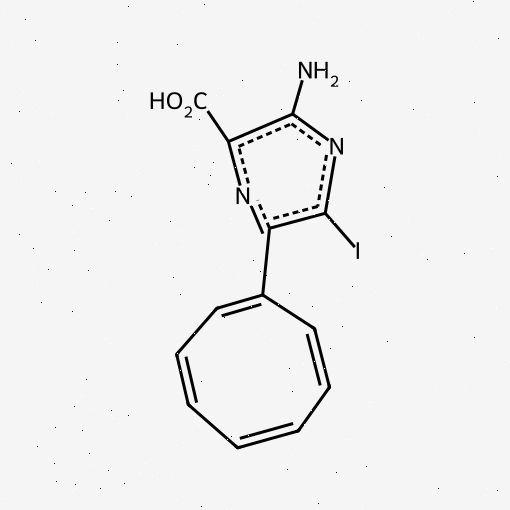 Nc1nc(I)c(C2=C/C=C\C=C/C=C\2)nc1C(=O)O